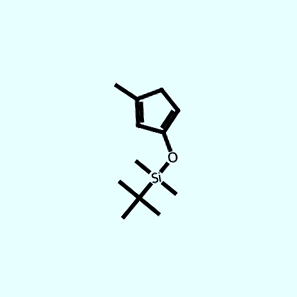 CC1=CC(O[Si](C)(C)C(C)(C)C)=CC1